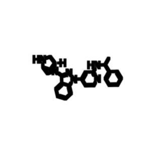 CC(Nc1cc(-n2nc(N3CC4C[C@H]3CN4)c3ccccc32)ccn1)c1ccccc1